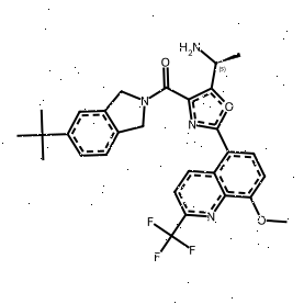 COc1ccc(-c2nc(C(=O)N3Cc4ccc(C(C)(C)C)cc4C3)c([C@H](C)N)o2)c2ccc(C(F)(F)F)nc12